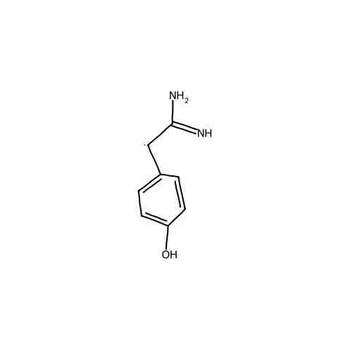 N=C(N)[CH]c1ccc(O)cc1